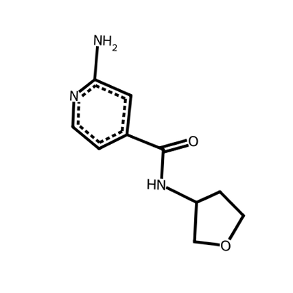 Nc1cc(C(=O)NC2CCOC2)ccn1